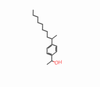 CCCCCCCCC(C)c1ccc(C(C)O)cc1